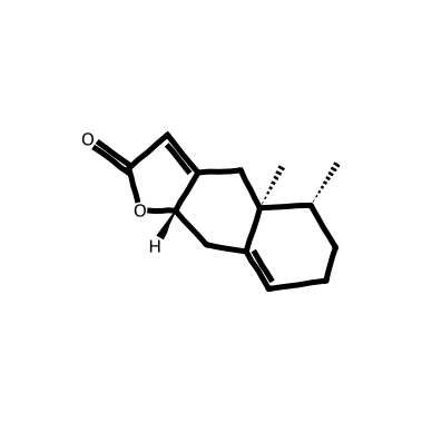 C[C@@H]1CCC=C2C[C@@H]3OC(=O)C=C3C[C@]21C